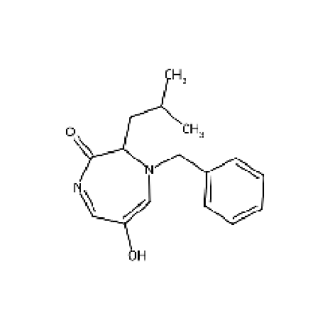 CC(C)CC1C(=O)N=CC(O)=CN1Cc1ccccc1